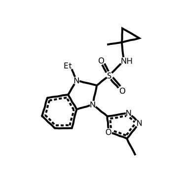 CCN1c2ccccc2N(c2nnc(C)o2)C1S(=O)(=O)NC1(C)CC1